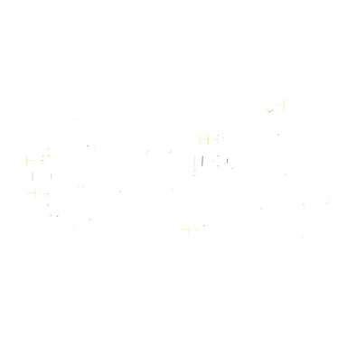 CC(c1ccc(C2CCC(Sc3cc(S)ccc3C(C)(c3ccc(C4CCCCC4)cc3)c3ccc(S)cc3S)CC2)cc1)(c1ccccc1S)c1ccccc1S